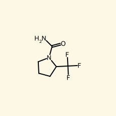 NC(=O)N1CCCC1C(F)(F)F